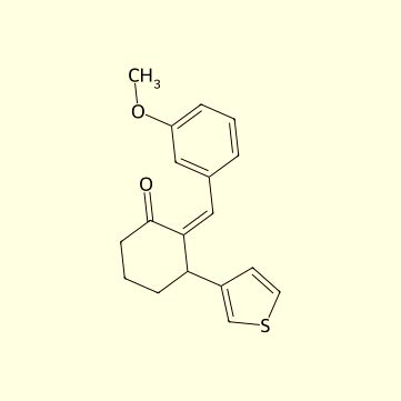 COc1cccc(C=C2C(=O)CCCC2c2ccsc2)c1